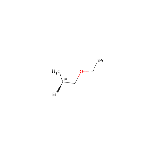 CCCCOC[C@H](C)CC